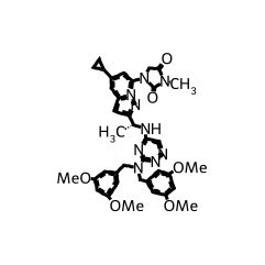 COc1cc(CN(Cc2cc(OC)cc(OC)c2)c2nncc(N[C@H](C)c3cc4cc(C5CC5)cc(N5CC(=O)N(C)C5=O)n4n3)n2)cc(OC)c1